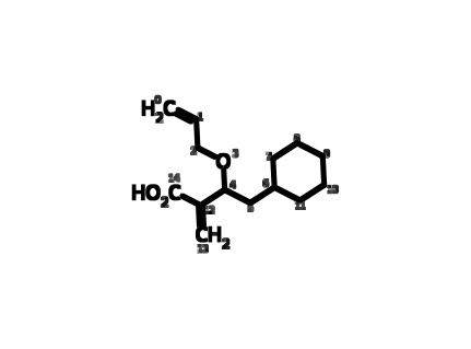 C=CCOC(CC1CCCCC1)C(=C)C(=O)O